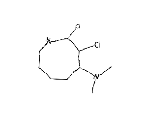 CN(C)C1CCCC[N]C(Cl)C1Cl